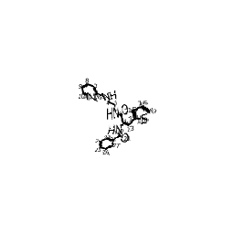 O=C(NCCNc1ccccn1)/C(=C\c1cccs1)NC(=O)c1ccccc1